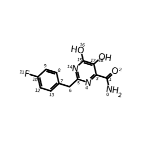 NC(=O)c1nc(Cc2ccc(F)cc2)nc(O)c1O